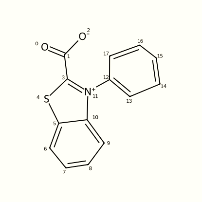 O=C([O-])c1sc2ccccc2[n+]1-c1ccccc1